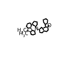 CC1(C)c2ccccc2-c2c(N(c3ccccc3)c3ccc4ccc5oc6ccccc6c5c4c3)cccc21